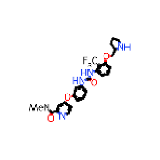 CNC(=O)c1cc(Oc2cccc(NC(=O)Nc3cccc(OCC4CCCN4)c3C(F)(F)F)c2)ccn1